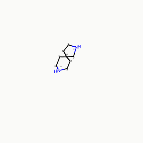 [CH]1NCCC12CCNCC2